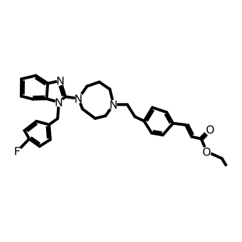 CCOC(=O)/C=C/c1ccc(CCN2CCCN(c3nc4ccccc4n3Cc3ccc(F)cc3)CCC2)cc1